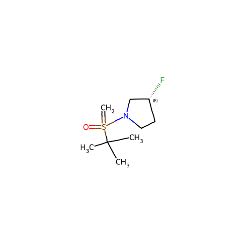 C=S(=O)(N1CC[C@@H](F)C1)C(C)(C)C